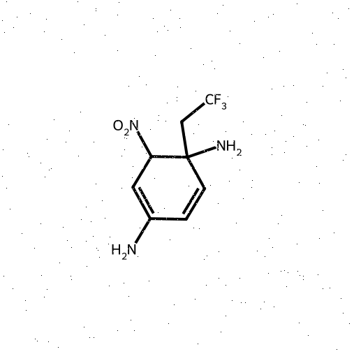 NC1=CC([N+](=O)[O-])C(N)(CC(F)(F)F)C=C1